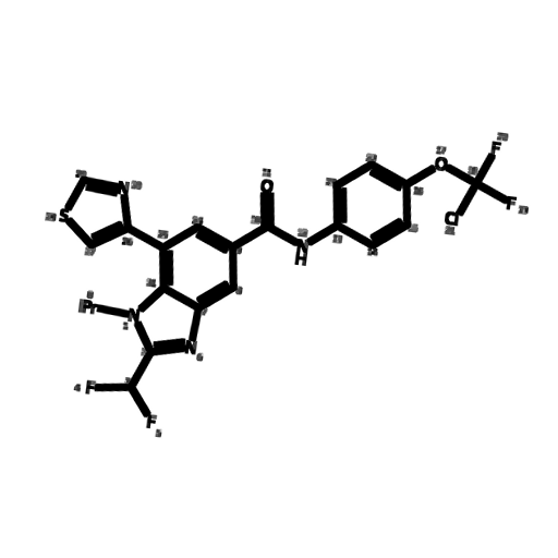 CC(C)n1c(C(F)F)nc2cc(C(=O)Nc3ccc(OC(F)(F)Cl)cc3)cc(-c3cscn3)c21